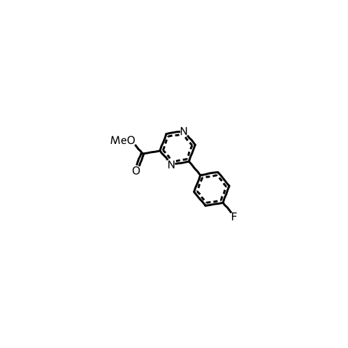 COC(=O)c1cncc(-c2ccc(F)cc2)n1